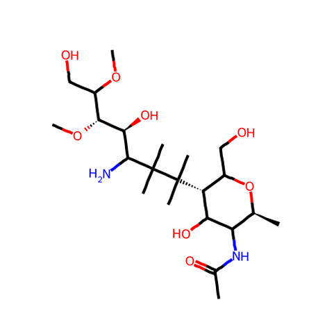 COC(CO)[C@@H](OC)[C@@H](O)C(N)C(C)(C)C(C)(C)[C@@H]1C(CO)O[C@@H](C)C(NC(C)=O)C1O